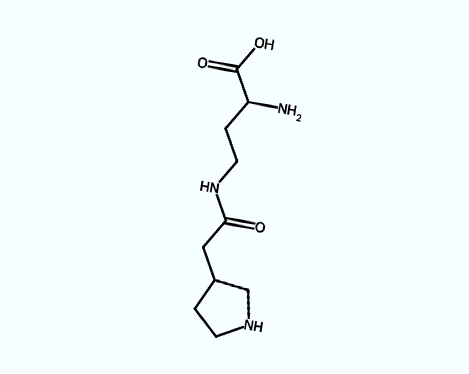 NC(CCNC(=O)CC1CCNC1)C(=O)O